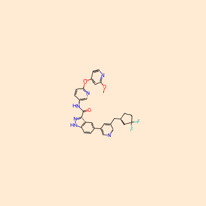 COc1cc(Oc2ccc(NC(=O)c3n[nH]c4ccc(-c5cncc(CC6CCC(F)(F)C6)c5)cc34)cn2)ccn1